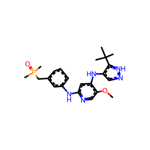 COc1cnc(Nc2cccc(CP(C)(C)=O)c2)cc1Nc1cn[nH]c1C(C)(C)C